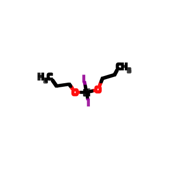 CCCO[Si](I)(I)OCCC